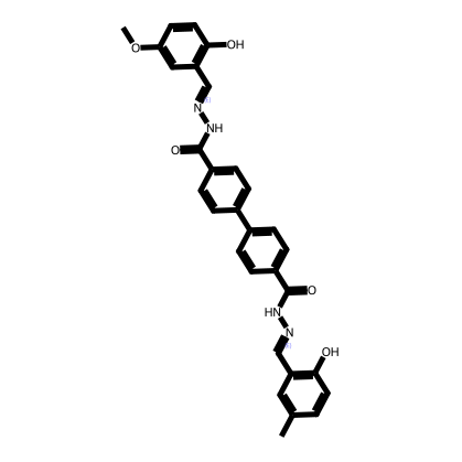 COc1ccc(O)c(/C=N/NC(=O)c2ccc(-c3ccc(C(=O)N/N=C/c4cc(C)ccc4O)cc3)cc2)c1